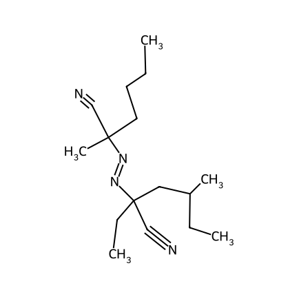 CCCCC(C)(C#N)N=NC(C#N)(CC)CC(C)CC